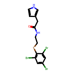 O=C(Cc1cc[nH]c1)NCCSc1c(Br)cc(Br)cc1Br